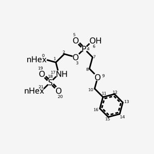 CCCCCCC(COP(=O)(O)CCOCc1ccccc1)NS(=O)(=O)CCCCCC